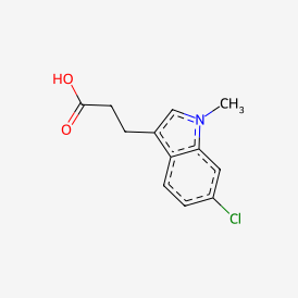 Cn1cc(CCC(=O)O)c2ccc(Cl)cc21